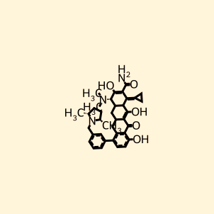 C[C@@H]1CC[C@@H](C)N1Cc1cccc(-c2ccc(O)c3c2CC2CC4C(C(O)=C2C3=O)C(=C2CC2)C(C(N)=O)=C(O)[C@H]4N(C)C)c1